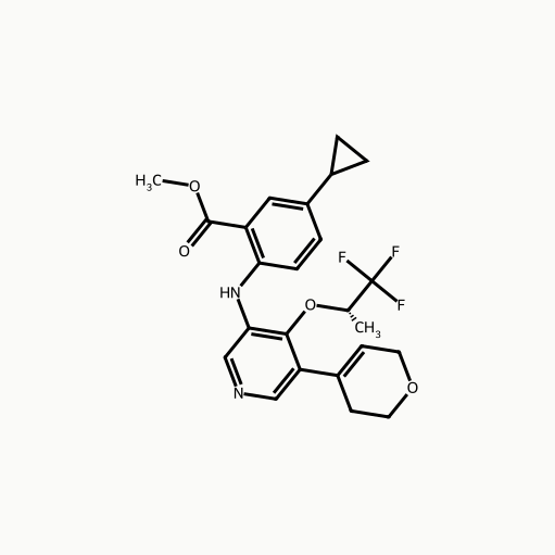 COC(=O)c1cc(C2CC2)ccc1Nc1cncc(C2=CCOCC2)c1O[C@@H](C)C(F)(F)F